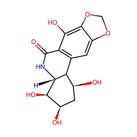 O=C1N[C@@H]2C(c3cc4c(c(O)c31)OCO4)[C@@H](O)C[C@@H](O)[C@H]2O